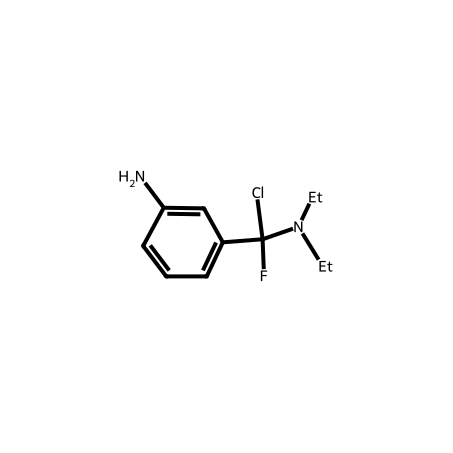 CCN(CC)C(F)(Cl)c1cccc(N)c1